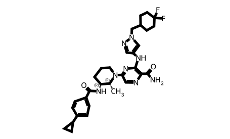 C[C@@H]1[C@H](NC(=O)c2ccc(C3CC3)cc2)CCCN1c1cnc(C(N)=O)c(Nc2cnn(CC3CCC(F)(F)CC3)c2)n1